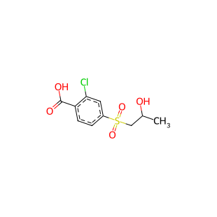 CC(O)CS(=O)(=O)c1ccc(C(=O)O)c(Cl)c1